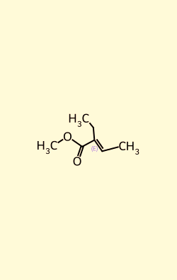 C/C=C(\CC)C(=O)OC